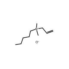 C=CC[N+](C)(C)CCCCC.[Cl-]